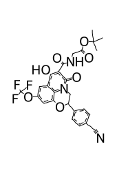 CC(C)(C)OC(=O)CNC(=O)c1c(O)c2cc(OC(F)(F)F)cc3c2n(c1=O)CC(c1ccc(C#N)cc1)O3